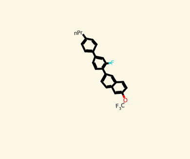 CCCc1ccc(-c2ccc(-c3ccc4cc(OC(F)(F)F)ccc4c3)c(F)c2)cc1